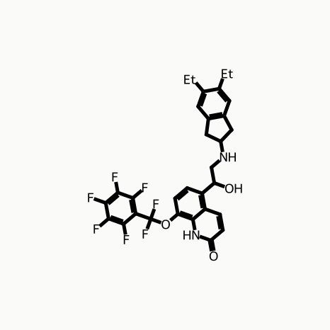 CCc1cc2c(cc1CC)CC(NCC(O)c1ccc(OC(F)(F)c3c(F)c(F)c(F)c(F)c3F)c3[nH]c(=O)ccc13)C2